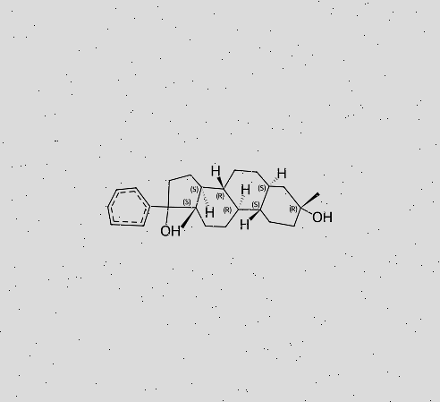 C[C@@]1(O)CC[C@H]2[C@@H](CC[C@@H]3[C@@H]2CC[C@@]2(C)[C@H]3CCC2(O)c2ccccc2)C1